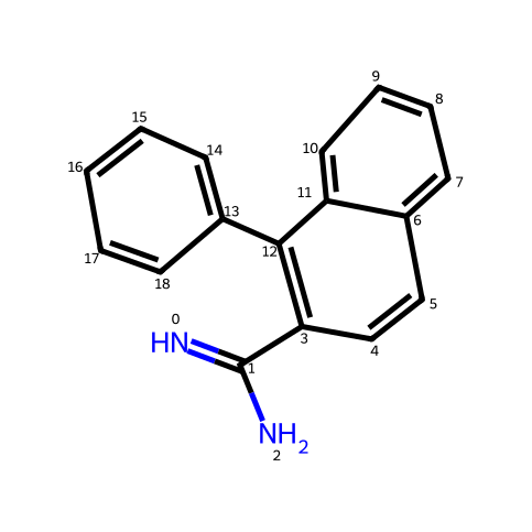 N=C(N)c1ccc2ccccc2c1-c1ccccc1